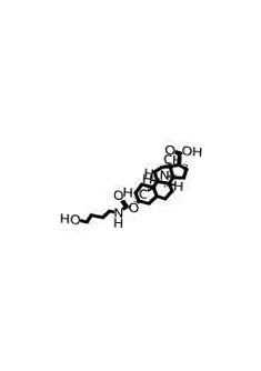 C[C@]12CCC(OC(=O)NCCCCO)CC1CC[C@@H]1[C@H]2CC[C@]2(C)C(C(=O)O)CC[C@@]12N